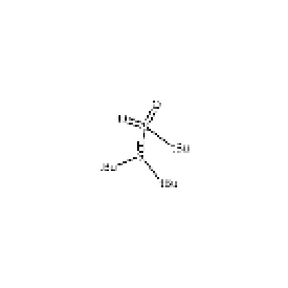 CC(C)(C)[SH](C(C)(C)C)S(=O)(=O)C(C)(C)C